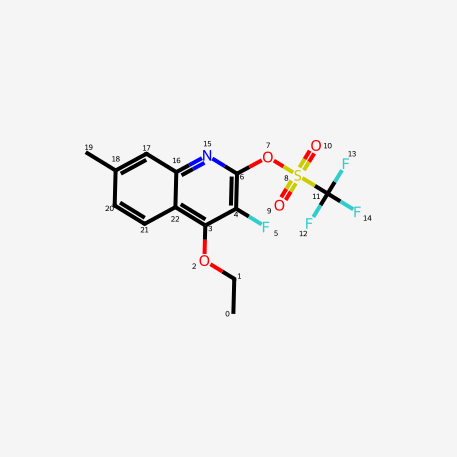 CCOc1c(F)c(OS(=O)(=O)C(F)(F)F)nc2cc(C)ccc12